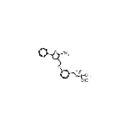 Cc1oc(-c2ccccc2)cc1COc1cccc(CSC(C)(C)C=O)c1